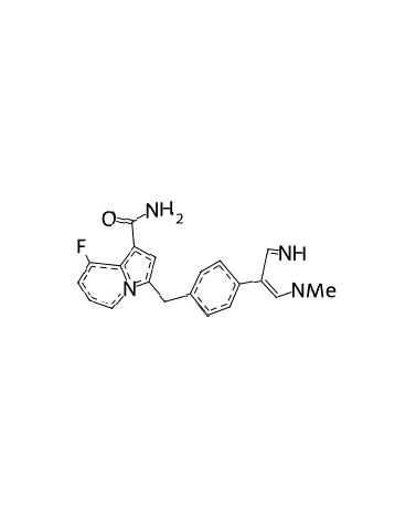 CN/C=C(\C=N)c1ccc(Cc2cc(C(N)=O)c3c(F)cccn23)cc1